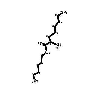 CC(C)CCCCCOC(=O)C(S)CCCCCC(C)C